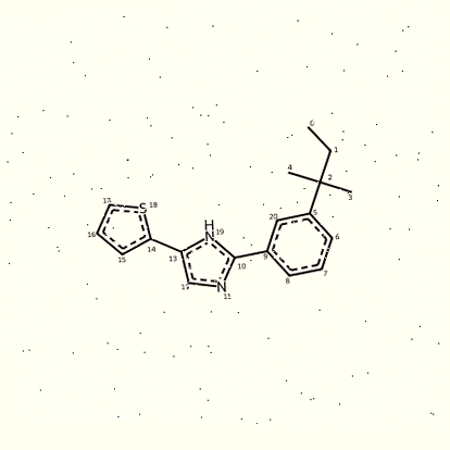 CCC(C)(C)c1cccc(-c2ncc(-c3cccs3)[nH]2)c1